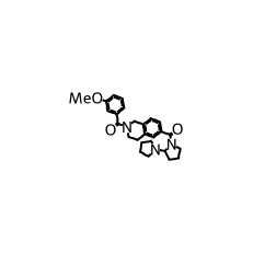 COc1cccc(C(=O)N2CCc3cc(C(=O)N4CCCC4N4CCCC4)ccc3C2)c1